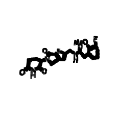 COc1c(F)cccc1CC(=O)NCc1cc2c(s1)C(=O)N(C1CCC(=O)NC1=O)C2